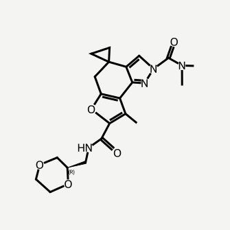 Cc1c(C(=O)NC[C@@H]2COCCO2)oc2c1-c1nn(C(=O)N(C)C)cc1C1(CC1)C2